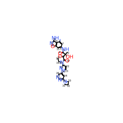 CC(O)(C(=O)Nc1ccc2c(N)noc2c1)C1OCCN(c2ccn(-c3cnnc(N4CCC4)c3)n2)C1=O